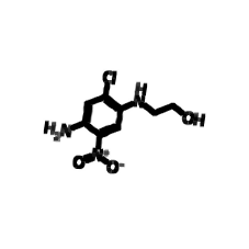 Nc1cc(Cl)c(NCCO)cc1[N+](=O)[O-]